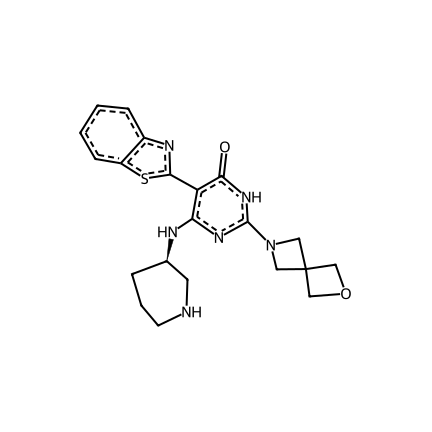 O=c1[nH]c(N2CC3(COC3)C2)nc(N[C@@H]2CCCNC2)c1-c1nc2ccccc2s1